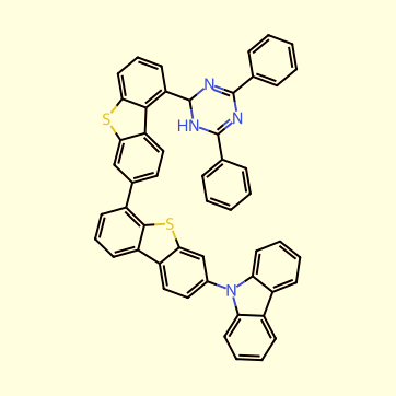 c1ccc(C2=NC(c3cccc4sc5cc(-c6cccc7c6sc6cc(-n8c9ccccc9c9ccccc98)ccc67)ccc5c34)NC(c3ccccc3)=N2)cc1